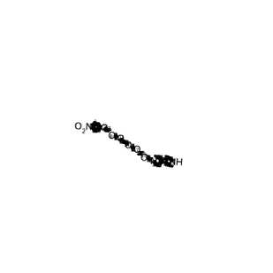 O=[N+]([O-])c1ccc(OCCOCCOCCOCCOCCOCCN2CCC(N3CCNCC3)CC2)cc1